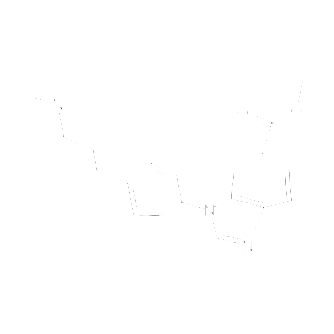 COC(=O)c1ccc2ncn(-c3ccc(CCCN(C)C)cc3)c2c1